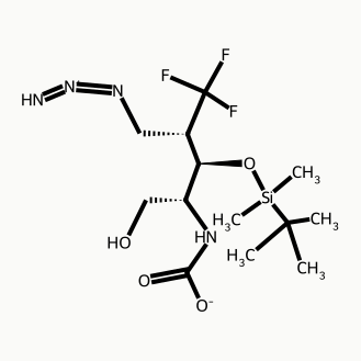 CC(C)(C)[Si](C)(C)O[C@@H]([C@@H](CO)NC(=O)[O-])[C@H](CN=[N+]=N)C(F)(F)F